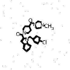 CN1CCN(C(=O)C2CCN(C(=O)c3cc4ccccc4n3Cc3ccc(Cl)cc3)CC2)CC1